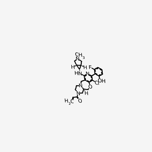 C=CC(=O)N1CCN2Cc3c(N[C@@H]4[C@@H]5CN(C)C[C@@H]54)nc(-c4c(O)cccc4F)c(Cl)c3OC[C@H]2C1